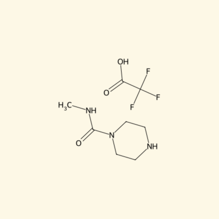 CNC(=O)N1CCNCC1.O=C(O)C(F)(F)F